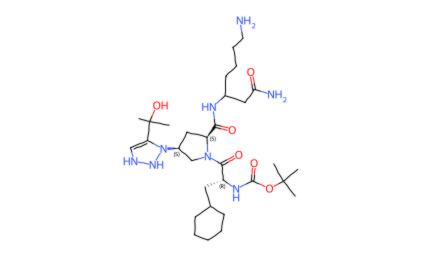 CC(C)(C)OC(=O)N[C@H](CC1CCCCC1)C(=O)N1C[C@@H](N2NNC=C2C(C)(C)O)C[C@H]1C(=O)NC(CCCCN)CC(N)=O